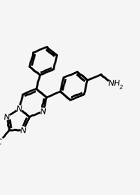 Cc1nc2nc(-c3ccc(CN)cc3)c(-c3ccccc3)cn2n1